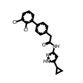 O=C(Cc1ccc(-c2cccc(Cl)c2Cl)cc1)Nc1cc(C2CC2)[nH]n1